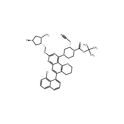 CN1C[C@H](F)C[C@H]1COc1nc(N2CCN(C(=O)OC(C)(C)C)[C@@H](CC#N)C2)c2c3c(c(-c4cccc5cccc(Cl)c45)cc2n1)CCCO3